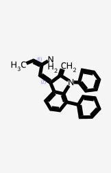 C=c1/c(=C\C(N)=C/C)c2cccc(-c3ccccc3)c2n1-c1ccccc1